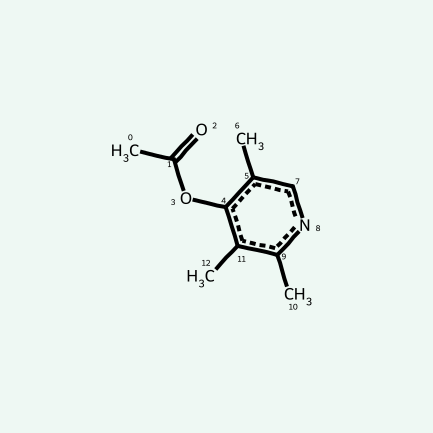 CC(=O)Oc1c(C)cnc(C)c1C